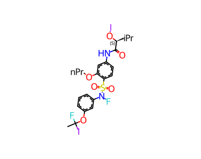 CCCOc1cc(NC(=O)[C@@H](OI)C(C)C)ccc1S(=O)(=O)N(F)c1cccc(OC(C)(F)I)c1